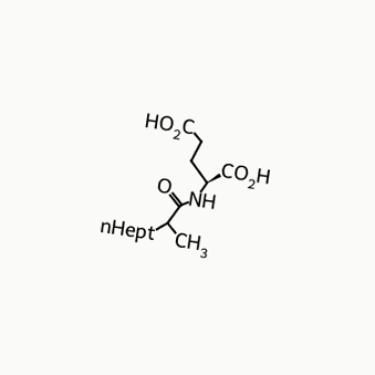 CCCCCCCC(C)C(=O)N[C@@H](CCC(=O)O)C(=O)O